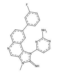 Cn1c(=N)n(-c2ccnc(N)n2)c2c3cc(-c4cccc(F)c4)ccc3ncc21